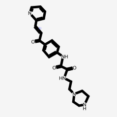 O=C(NCCN1CCNCC1)C(=O)Nc1ccc(C(=O)/C=C/c2ccccn2)cc1